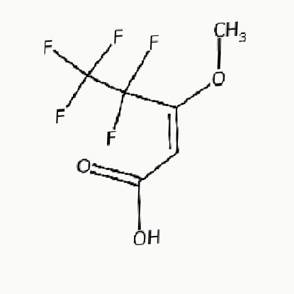 COC(=CC(=O)O)C(F)(F)C(F)(F)F